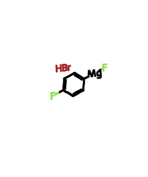 Br.[F][Mg][c]1ccc(F)cc1